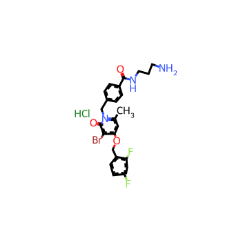 Cc1cc(OCc2ccc(F)cc2F)c(Br)c(=O)n1Cc1ccc(C(=O)NCCCN)cc1.Cl